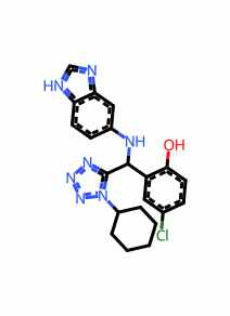 Oc1ccc(Cl)cc1C(Nc1ccc2[nH]cnc2c1)c1nnnn1C1CCCCC1